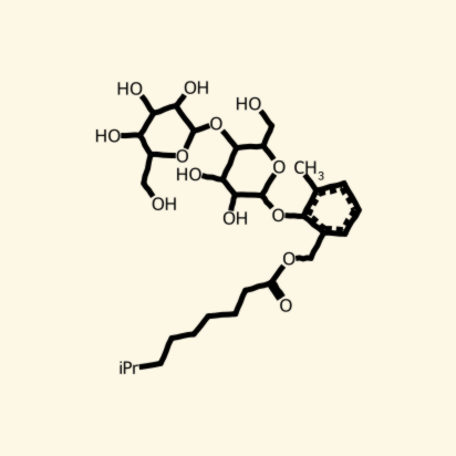 Cc1cccc(COC(=O)CCCCCCC(C)C)c1OC1OC(CO)C(OC2OC(CO)C(O)C(O)C2O)C(O)C1O